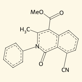 COC(=O)c1c(C)n(-c2ccccc2)c(=O)c2c(C#N)cccc12